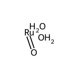 O.O.[O]=[Ru]